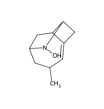 CC1C=C2CC3C2CC(C1)N3O